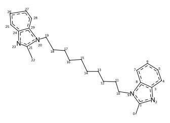 Cc1nc2ccccc2n1CCCCCCCCCCn1c(C)nc2ccccc21